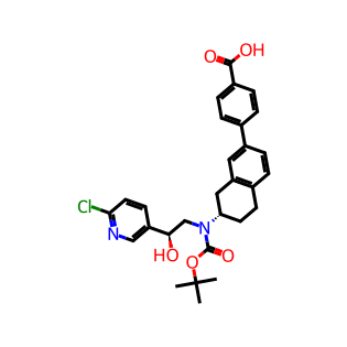 CC(C)(C)OC(=O)N(C[C@@H](O)c1ccc(Cl)nc1)[C@H]1CCc2ccc(-c3ccc(C(=O)O)cc3)cc2C1